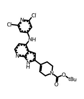 CC(C)(C)OC(=O)N1CC=C(c2cc3c(Nc4cc(Cl)nc(Cl)c4)ccnc3[nH]2)CC1